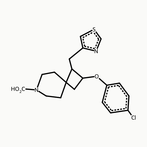 O=C(O)N1CCC2(CC1)CC(Oc1ccc(Cl)cc1)C2Cc1cscn1